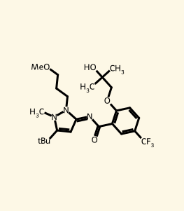 COCCCn1/c(=N/C(=O)c2cc(C(F)(F)F)ccc2OCC(C)(C)O)cc(C(C)(C)C)n1C